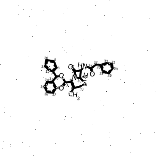 CC1=C(C(=O)OC(c2ccccc2)c2ccccc2)N2C(=O)C(NC(=O)Cc3ccccc3)[C@H]2SC1